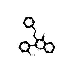 O=c1c(CCc2ccccc2)c(-c2ccccc2O)oc2ccccc12